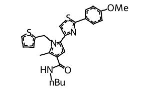 CCCCNC(=O)c1cc(-c2csc(-c3ccc(OC)cc3)n2)n(Cc2cccs2)c1C